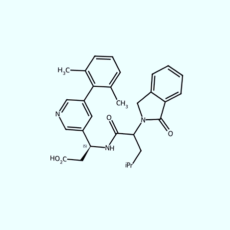 Cc1cccc(C)c1-c1cncc([C@H](CC(=O)O)NC(=O)C(CC(C)C)N2Cc3ccccc3C2=O)c1